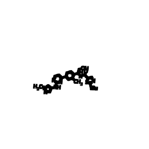 Cc1cc(-c2ccnc(Nc3cnn(C)c3)n2)ccc1C(CO)NC(=O)c1cnc(C(C)(C)C)s1